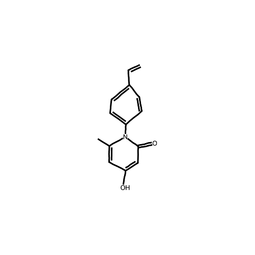 C=Cc1ccc(-n2c(C)cc(O)cc2=O)cc1